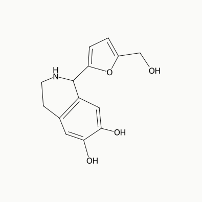 OCc1ccc(C2NCCc3cc(O)c(O)cc32)o1